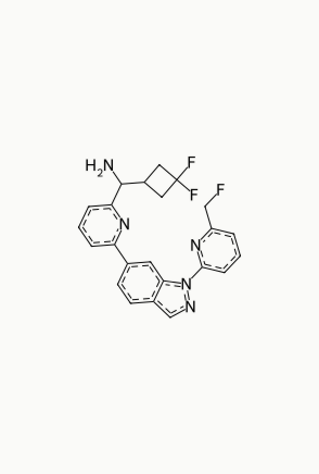 NC(c1cccc(-c2ccc3cnn(-c4cccc(CF)n4)c3c2)n1)C1CC(F)(F)C1